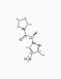 Cc1nn([C@H](C)C(=O)N2CCCC2)cc1N